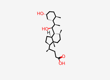 C[C@@H]([C@H](O)[C@@H]1[C@@H](C)CC[C@]2(C)[C@@H]([C@H](C)CCC(=O)O)CC[C@@H]12)[C@@H]1C[C@H](O)CC[C@H]1C